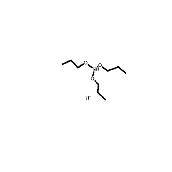 CCCO[SiH](OCCC)OCCC.[H+]